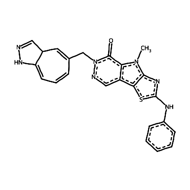 Cn1c2nc(Nc3ccccc3)sc2c2cnn(CC3=CC4C=NNC4=CC=C3)c(=O)c21